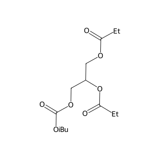 CCC(=O)OCC(COC(=O)OCC(C)C)OC(=O)CC